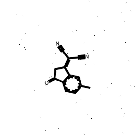 Cc1ccc2c(c1)C(=C(C#N)C#N)CC2=O